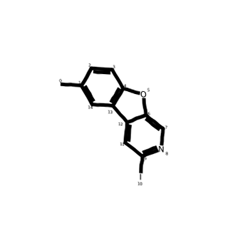 Cc1ccc2oc3cnc(I)cc3c2c1